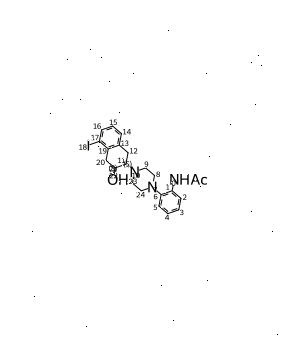 CC(=O)Nc1ccccc1N1CCN([C@H]2Cc3cccc(I)c3C[C@@H]2O)CC1